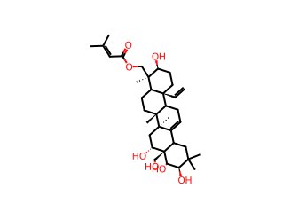 C=C[C@]12CC[C@H](O)[C@](C)(COC(=O)C=C(C)C)C1CC[C@]1(C)C2CC=C2C3CC(C)(C)[C@@H](O)[C@H](O)[C@]3(CO)[C@H](O)C[C@]21C